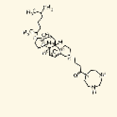 CC(C)CCCC(C)[C@H]1CC[C@H]2[C@@H]3CC=C4C[C@@H](CCCC(=O)N5CCNCCNCC5)CC[C@]4(C)[C@H]3CC[C@]12C